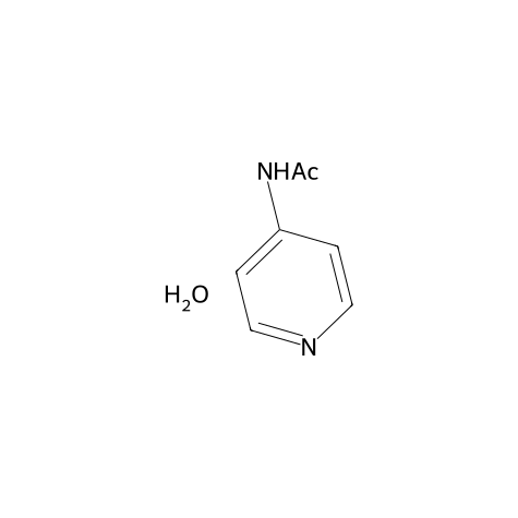 CC(=O)Nc1ccncc1.O